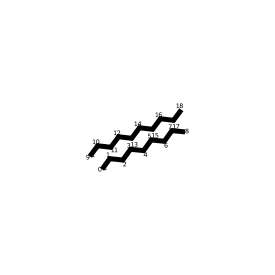 [CH2]CCCCCCCC.[CH2]CCCCCCCCC